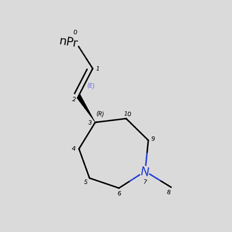 CCC/C=C/[C@@H]1CCCN(C)CC1